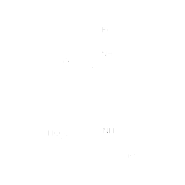 CCNC(=O)CCC(NCC(C)C)C(=O)O